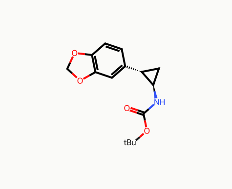 CC(C)(C)OC(=O)N[C@@H]1C[C@H]1c1ccc2c(c1)OCO2